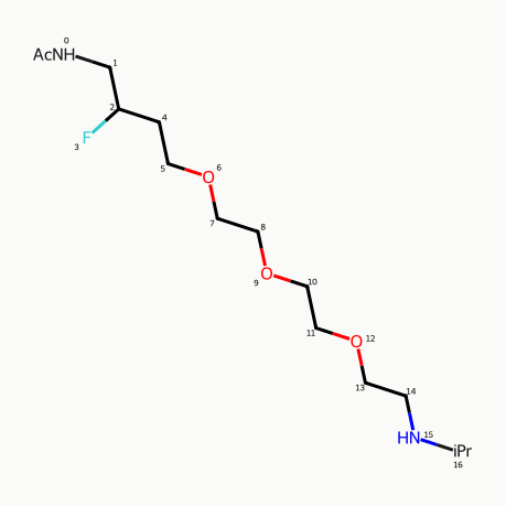 CC(=O)NCC(F)CCOCCOCCOCCNC(C)C